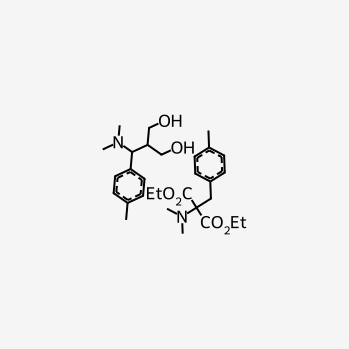 CCOC(=O)C(Cc1ccc(C)cc1)(C(=O)OCC)N(C)C.Cc1ccc(C(C(CO)CO)N(C)C)cc1